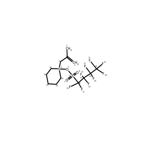 C=C(C)CS1(OS(=O)(=O)C(F)(F)C(F)(F)C(F)(F)C(F)(F)F)CCCCC1